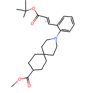 COC(=O)C1CCC2(CC1)CCN(c1ccccc1/C=C/C(=O)OC(C)(C)C)CC2